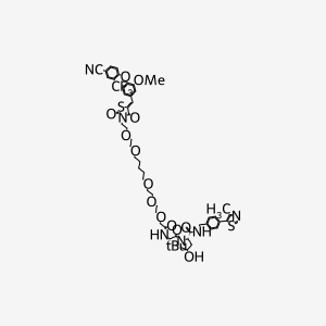 COc1cc(/C=C2\SC(=O)N(CCOCCOCCCCCOCCOCCOCC(=O)N[C@H](C(=O)N3C[C@H](O)C[C@H]3C(=O)NCc3ccc(-c4scnc4C)cc3)C(C)(C)C)C2=O)ccc1Oc1ccc(C#N)cc1C(F)(F)F